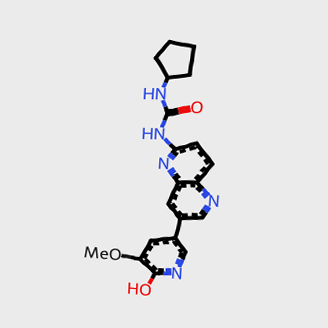 COc1cc(-c2cnc3ccc(NC(=O)NC4CCCC4)nc3c2)cnc1O